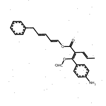 CC=CC(C(=O)OC=CC=CCc1ccccc1)=C(O[C]=O)c1ccc(N)cc1